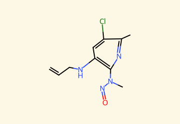 C=CCNc1cc(Cl)c(C)nc1N(C)N=O